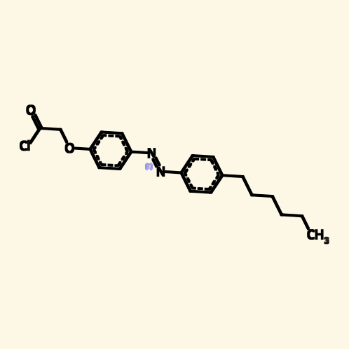 CCCCCCc1ccc(/N=N/c2ccc(OCC(=O)Cl)cc2)cc1